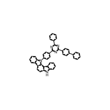 c1ccc(-c2ccc(-c3nc(-c4ccccc4)nc(-c4ccc(-n5c6ccccc6c6ccc7[nH]c8ccccc8c7c65)cc4)n3)cc2)cc1